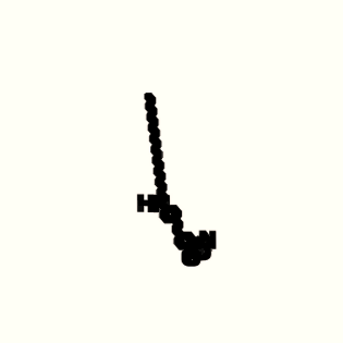 CCCCCCCCCCCCCCCCCCCCNc1ccc(C=Cc2ccc([N+](=O)[O-])c(C#N)c2)cc1